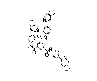 CN(C(=O)c1cc(C(=O)N(C)c2ccc(-c3cc4c(cn3)CCC4)cc2)cc(C(=O)N(C)c2ccc(-c3cc4c(cn3)CCC4)cc2)c1)c1ccc(-c2cc3c(cn2)CCC3)cc1